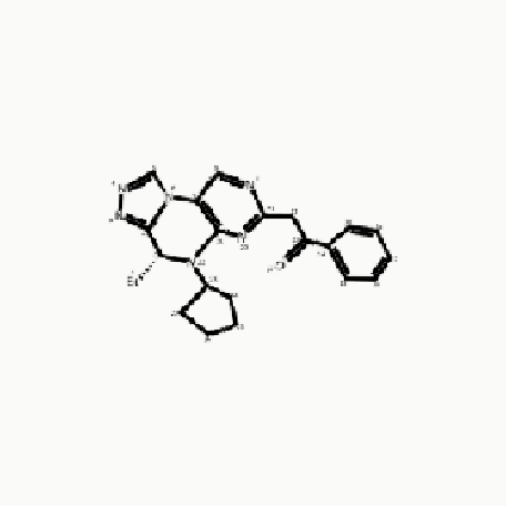 CC[C@@H]1c2nncn2-c2cnc(CC(=O)c3ccccc3)nc2N1C1CCCC1